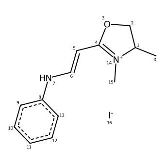 CC1COC(C=CNc2ccccc2)=[N+]1C.[I-]